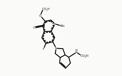 CCOC(=O)NC1CC=CC2CN(c3cc4c(cc3F)c(=O)c(OC(=O)O)cn4C(C)(C)C)CC21